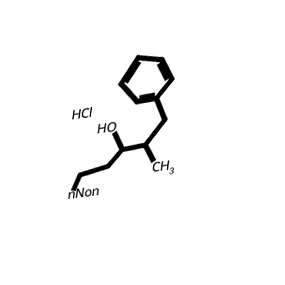 CCCCCCCCCCCC(O)C(C)Cc1ccccc1.Cl